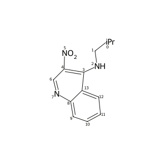 CC(C)CNc1c([N+](=O)[O-])cnc2ccccc12